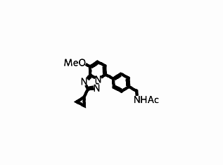 COc1ccc(-c2ccc(CNC(C)=O)cc2)n2nc(C3CC3)nc12